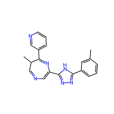 Cc1cccc(-c2nnc(C3=CN=CC(C)C(c4cccnc4)=N3)[nH]2)c1